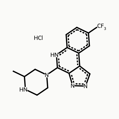 CC1CN(c2[nH]c3ccc(C(F)(F)F)cc3c3cnnc2-3)CCN1.Cl